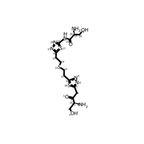 N[C@@H](CO)C(=O)Cc1nnc(CCSCCc2nnc(NC(=O)[C@@H](N)CO)s2)s1